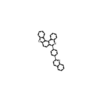 c1ccc2nc(-c3ccc(-c4nc5ccccc5c5c4ccc4oc6ccccc6c45)cc3)ccc2c1